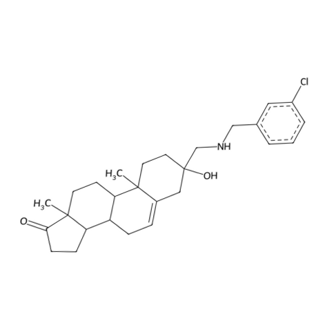 CC12CCC3C(CC=C4CC(O)(CNCc5cccc(Cl)c5)CCC43C)C1CCC2=O